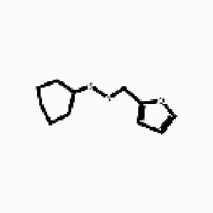 c1coc(CSSC2CCCCC2)c1